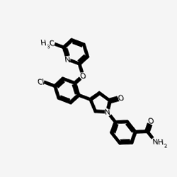 Cc1cccc(Oc2cc(Cl)ccc2C2CC(=O)N(c3cccc(C(N)=O)c3)C2)n1